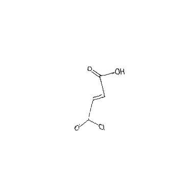 O=C(O)/C=C/C(Cl)Cl